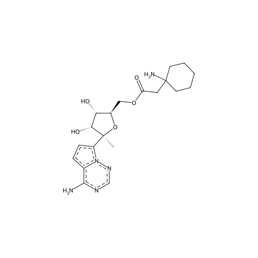 C[C@@]1(c2ccc3c(N)ncnn23)O[C@H](COC(=O)CC2(N)CCCCC2)[C@@H](O)[C@H]1O